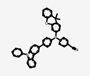 CC1(C)c2ccccc2Oc2cc(N(c3ccc(C#N)cc3)c3ccc(-c4ccc5c(c4)c4ccccc4n5-c4ccccc4)cc3)ccc21